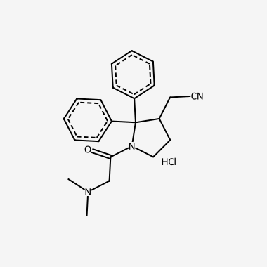 CN(C)CC(=O)N1CCC(CC#N)C1(c1ccccc1)c1ccccc1.Cl